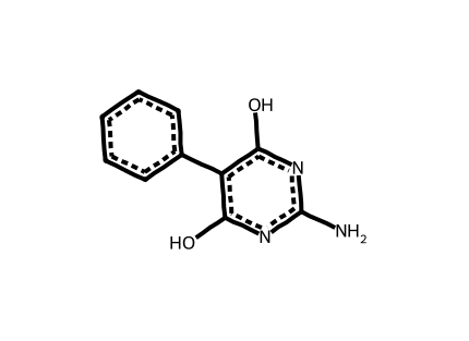 Nc1nc(O)c(-c2ccccc2)c(O)n1